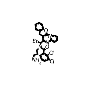 CCC(c1nc2ccccn2c(=O)c1Cc1ccccc1)N(CCCN)C(=O)c1cccc(Cl)c1Cl